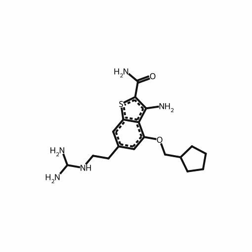 NC(=O)c1sc2cc(CCNC(N)N)cc(OCC3CCCC3)c2c1N